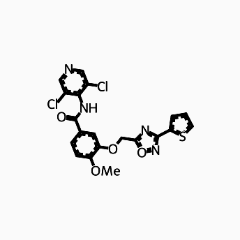 COc1ccc(C(=O)Nc2c(Cl)cncc2Cl)cc1OCc1nc(-c2cccs2)no1